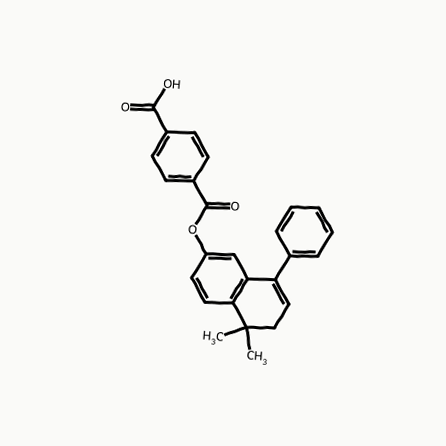 CC1(C)CC=C(c2ccccc2)c2cc(OC(=O)c3ccc(C(=O)O)cc3)ccc21